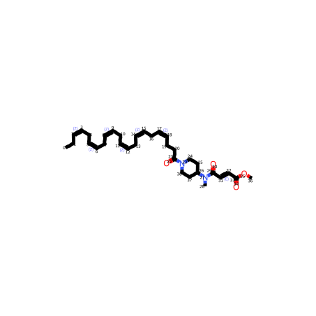 CC/C=C\C/C=C\C/C=C\C/C=C\C/C=C\C/C=C\CCC(=O)N1CCC(N(C)C(=O)/C=C/C(=O)OC)CC1